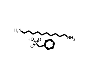 NCCCCCCCCCCN.O=S(=O)(O)Cc1ccccc1